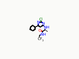 C[C@H](Nc1cc(-c2ccccc2)nc(Cl)n1)C(=O)NCC(F)(F)F